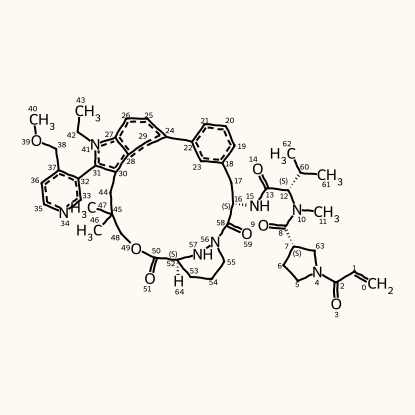 C=CC(=O)N1CC[C@H](C(=O)N(C)[C@H](C(=O)N[C@H]2Cc3cccc(c3)-c3ccc4c(c3)c(c(-c3cnccc3COC)n4CC)CC(C)(C)COC(=O)[C@@H]3CCCN(N3)C2=O)C(C)C)C1